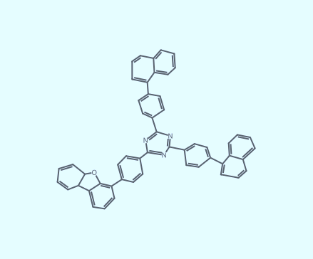 C1=CC2Oc3c(-c4ccc(-c5nc(-c6ccc(-c7cccc8ccccc78)cc6)nc(-c6ccc(-c7cccc8ccccc78)cc6)n5)cc4)cccc3C2C=C1